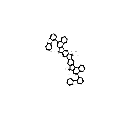 CC1(C)c2cc3c(cc2-c2cc4c(cc21)-c1c(cc(-c2cccc5oc6ccccc6c25)c2ccccc12)C4(C)C)C(C)(C)c1cc(-c2cccc4oc5ccccc5c24)c2ccccc2c1-3